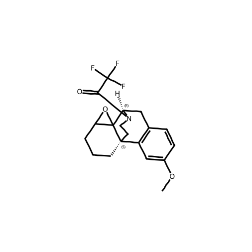 COc1ccc2c(c1)[C@@]13CCCC4OC41[C@@H](C2)N(C(=O)C(F)(F)F)CC3